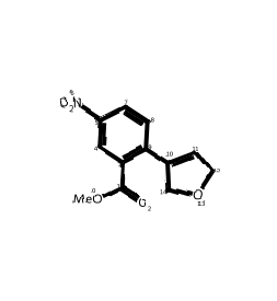 COC(=O)c1cc([N+](=O)[O-])ccc1C1=CCOC1